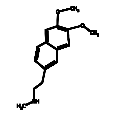 CNCCc1ccc2cc(OC)c(OC)cc2c1